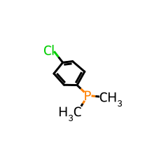 CP(C)c1ccc(Cl)cc1